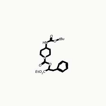 CCOC(=O)C(Cc1ccccc1)OC(=O)N1CCC(NC(=O)OC(C)(C)C)CC1